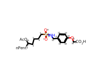 CCCCCC(CCCCS(=O)(=O)NCc1ccc(OCC(=O)O)cc1)OC(C)=O